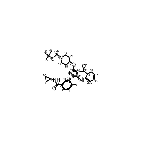 Cc1ccc(C(=O)NC2CC2)cc1-n1nc(OC2CCN(C(=O)OC(C)(C)C)CC2)c(C(=O)C2C=CC=CC2)c1N